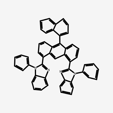 c1ccc(-n2c(-c3cccc4c(-c5cccc6ccccc56)c5cccc(-c6nc7ccccc7n6-c6ccccc6)c5cc34)nc3ccccc32)cc1